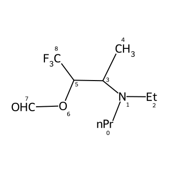 CCCN(CC)C(C)C(OC=O)C(F)(F)F